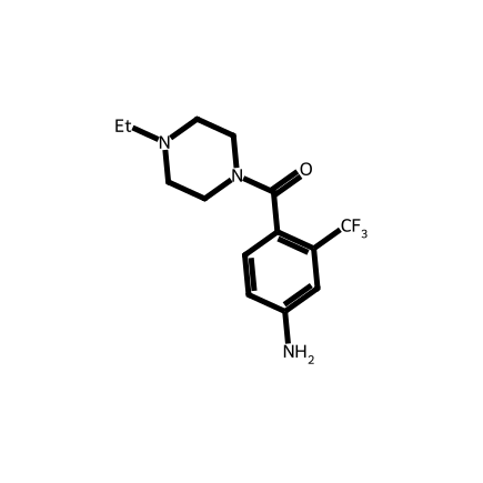 CCN1CCN(C(=O)c2ccc(N)cc2C(F)(F)F)CC1